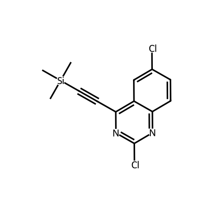 C[Si](C)(C)C#Cc1nc(Cl)nc2ccc(Cl)cc12